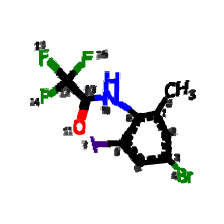 Cc1cc(Br)cc(I)c1NC(=O)C(F)(F)F